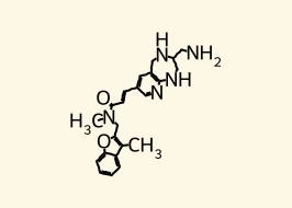 Cc1c(CN(C)C(=O)/C=C/c2cnc3c(c2)CNC(CN)CN3)oc2ccccc12